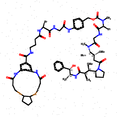 CC[C@H](C)[C@@H]([C@@H](CC(=O)N1CCC[C@H]1[C@H](OC)[C@@H](C)C(=O)N[C@H](C)[C@@H](O)c1ccccc1)OC)N(C)C(=O)CNC(=O)C(C(C)C)N(C)C(=O)OCc1ccc(NC(=O)CNC(=O)C(NC(=O)CCCNC(=O)c2cc3cc(c2)NC(=O)CCSC2CCCC2SCCC(=O)N3)C(C)C)cc1